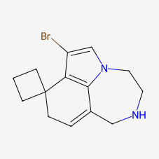 Brc1cn2c3c1C1(CC=C3CNCC2)CCC1